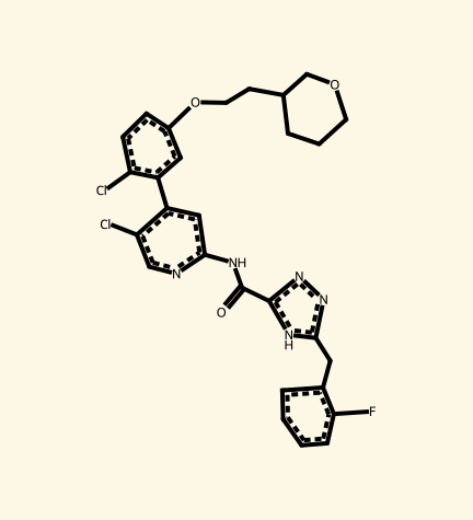 O=C(Nc1cc(-c2cc(OCCC3CCCOC3)ccc2Cl)c(Cl)cn1)c1nnc(Cc2ccccc2F)[nH]1